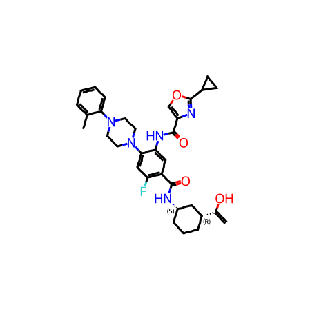 C=C(O)[C@@H]1CCC[C@H](NC(=O)c2cc(NC(=O)c3coc(C4CC4)n3)c(N3CCN(c4ccccc4C)CC3)cc2F)C1